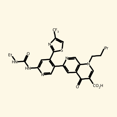 CCNC(=O)Nc1cc(-c2nc(C(F)(F)F)cs2)c(-c2cc3c(=O)c(C(=O)O)cn(CCC(C)C)c3cn2)cn1